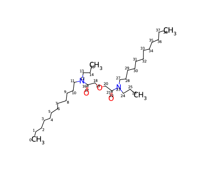 CCCCCCCCCCCCN(CCC)C(=O)COCC(=O)N(CCC)CCCCCCCCCCCC